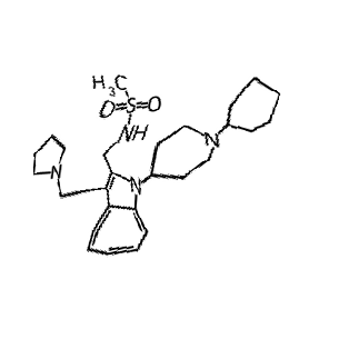 CS(=O)(=O)NCc1c(CN2CCCC2)c2ccccc2n1C1CCN(C2CCCCC2)CC1